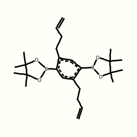 C=CCCc1cc(B2OC(C)(C)C(C)(C)O2)c(CCC=C)cc1B1OC(C)(C)C(C)(C)O1